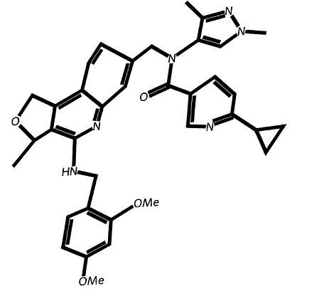 COc1ccc(CNc2nc3cc(CN(C(=O)c4ccc(C5CC5)nc4)c4cn(C)nc4C)ccc3c3c2C(C)OC3)c(OC)c1